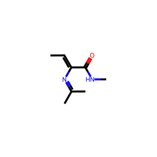 C/C=C(\N=C(C)C)C(=O)NC